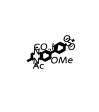 COc1cc2c(cc1-c1ccc(S(C)(=O)=O)cc1)N(C(=O)O)CC(C)N2C(C)=O